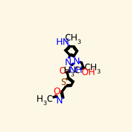 CNc1ccc2c(c1)nc(NC(=O)c1ccc(-c3cnc(C)o3)s1)n2CC(C)(C)O